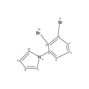 Brc1cccc(-n2c[c]cc2)c1Br